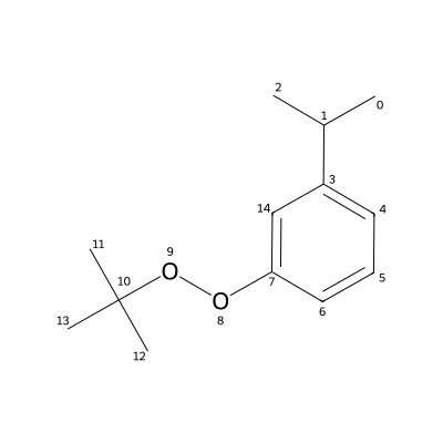 CC(C)c1cccc(OOC(C)(C)C)c1